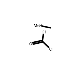 CNC.O=C(Cl)Cl